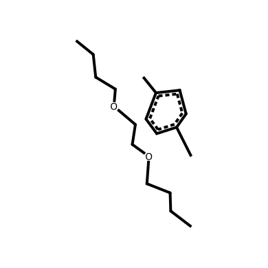 CCCCOCCOCCCC.Cc1ccc(C)cc1